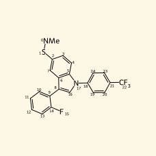 CNSc1ccc2c(c1)c(-c1ccccc1F)cn2-c1ccc(C(F)(F)F)cc1